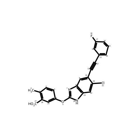 Cc1ccc(Oc2nc3cc(C#Cc4cccc(F)c4)c(Cl)cc3[nH]2)cc1C(=O)O